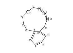 C1=NCCCCCc2ccccc2CN=1